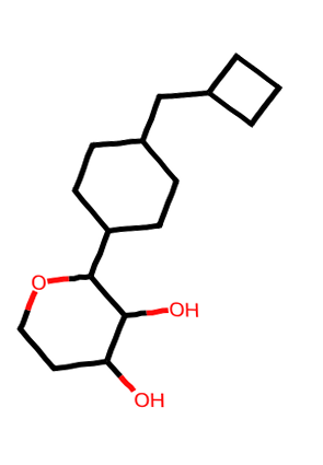 OC1CCOC(C2CCC(CC3CCC3)CC2)C1O